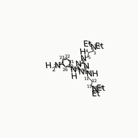 CCN(CC)CCCNc1nc(NCCCN(CC)CC)nc(Nc2cccc(N)c2)n1